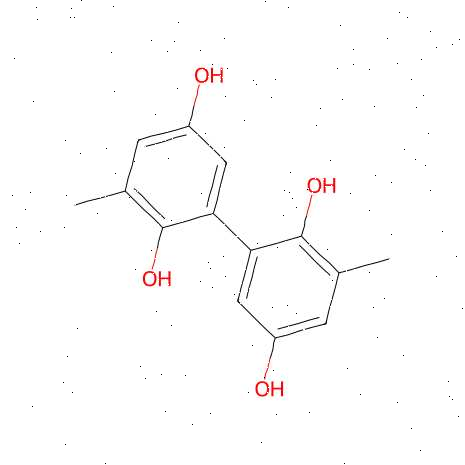 Cc1cc(O)cc(-c2cc(O)cc(C)c2O)c1O